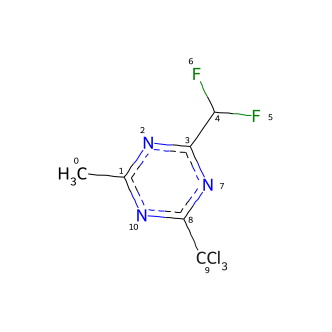 Cc1nc(C(F)F)nc(C(Cl)(Cl)Cl)n1